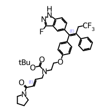 CC(C)(C)OC(=O)N(C/C=C/C(=O)N1CCCC1)CCOc1ccc(/C(=C(/CC(F)(F)F)c2ccccc2)c2ccc3[nH]nc(F)c3c2)cc1